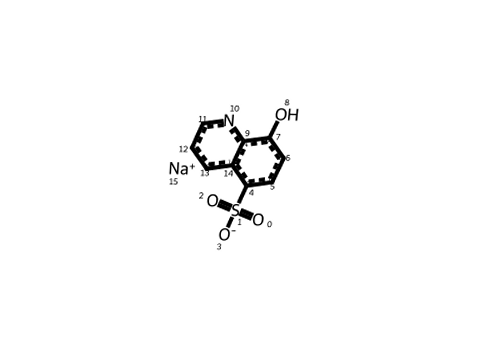 O=S(=O)([O-])c1ccc(O)c2ncccc12.[Na+]